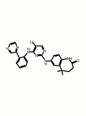 CC1(C)CCC(=O)Nc2ccc(Nc3ncc(Cl)c(Nc4ccccc4-c4cnccn4)n3)cc21